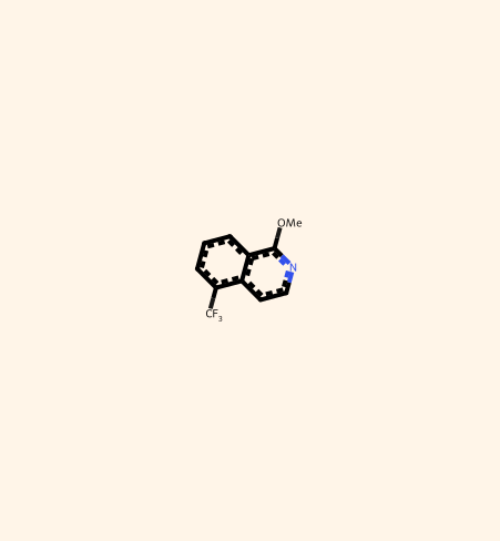 COc1nccc2c(C(F)(F)F)cccc12